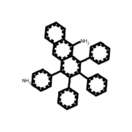 N.Nc1c2ccccc2cc2c(-c3ccccc3)c(-c3ccccc3)c(-c3ccccc3)c(-c3ccccc3)c12